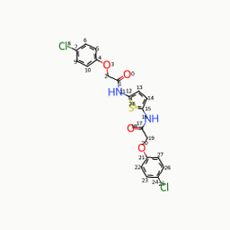 O=C(COc1ccc(Cl)cc1)Nc1ccc(NC(=O)COc2ccc(Cl)cc2)s1